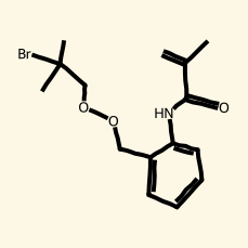 C=C(C)C(=O)Nc1ccccc1COOCC(C)(C)Br